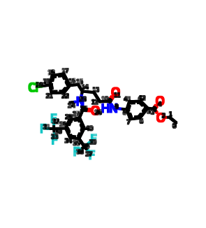 CCOC(=O)c1ccc(NC(=O)CCC(Cc2ccc(Cl)cc2)N(C)C(=O)c2cc(C(F)(F)F)cc(C(F)(F)F)c2)cc1